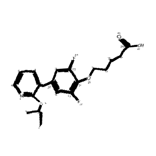 CC(C)Sc1ncccc1-c1cc(F)c(OCCCCC(=O)O)c(F)c1